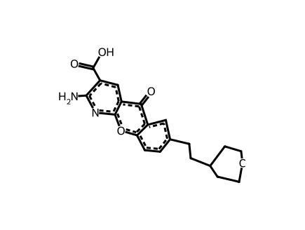 Nc1nc2oc3ccc(CCC4CCCCC4)cc3c(=O)c2cc1C(=O)O